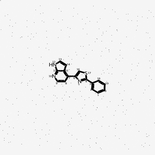 c1ccc(-c2nc(-c3ccnc4[nH]ccc34)cs2)cc1